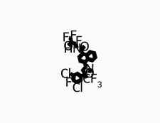 O=C(NC(F)C(=O)C(F)F)c1ccc(C2=NOC(c3cc(Cl)c(F)c(Cl)c3)(C(F)(F)F)C2)c2ccccc12